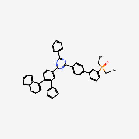 CC(C)(C)CP(=O)(CC(C)(C)C)c1cccc(-c2ccc(-c3nc(-c4ccccc4)nc(-c4ccc(-c5cccc6ccccc56)c(-c5ccccc5)c4)n3)cc2)c1